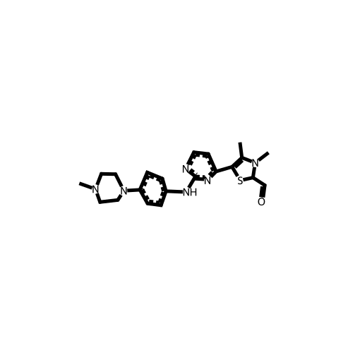 CC1=C(c2ccnc(Nc3ccc(N4CCN(C)CC4)cc3)n2)SC(C=O)N1C